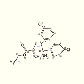 C=C(/C=C(/c1cccc(Cl)c1)N(N)c1ccc(Cl)cc1)C(=O)OCC